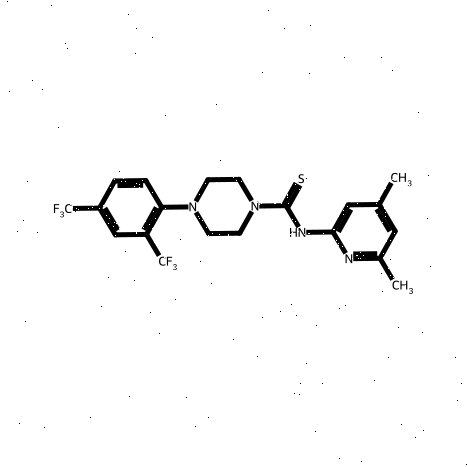 Cc1cc(C)nc(NC(=S)N2CCN(c3ccc(C(F)(F)F)cc3C(F)(F)F)CC2)c1